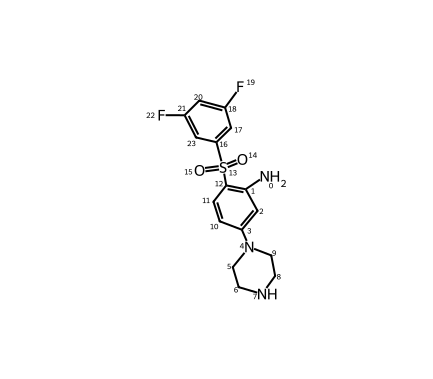 Nc1cc(N2CCNCC2)ccc1S(=O)(=O)c1cc(F)cc(F)c1